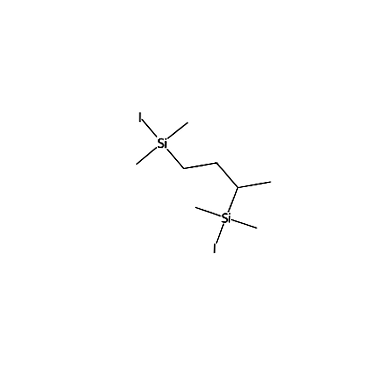 CC(CC[Si](C)(C)I)[Si](C)(C)I